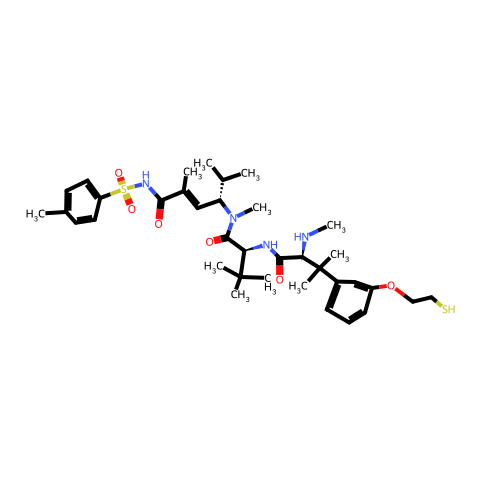 CN[C@H](C(=O)N[C@H](C(=O)N(C)[C@H](/C=C(\C)C(=O)NS(=O)(=O)c1ccc(C)cc1)C(C)C)C(C)(C)C)C(C)(C)c1cccc(OCCS)c1